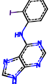 Ic1ccccc1Nc1ncnc2[nH]cnc12